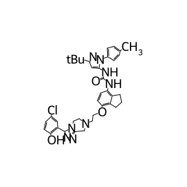 Cc1ccc(-n2nc(C(C)(C)C)cc2NC(=O)Nc2ccc(OCCN3CCn4c(nnc4-c4cc(Cl)ccc4O)C3)c3c2CCC3)cc1